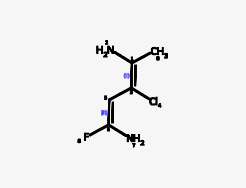 C/C(N)=C(Cl)/C=C(\N)F